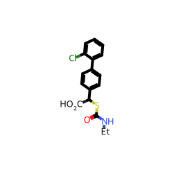 CCNC(=O)SC(C(=O)O)c1ccc(-c2ccccc2Cl)cc1